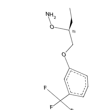 CC[C@@H](COc1cccc(C(F)(F)F)c1)ON